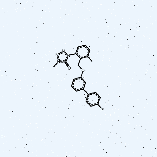 Cc1cccc(-n2nnn(C)c2=O)c1COc1cccc(-c2ccc(F)cc2)c1